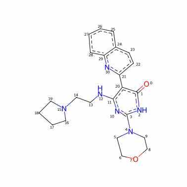 O=c1[nH]c(N2CCOCC2)nc(NCCN2CCCC2)c1-c1ccc2ccccc2n1